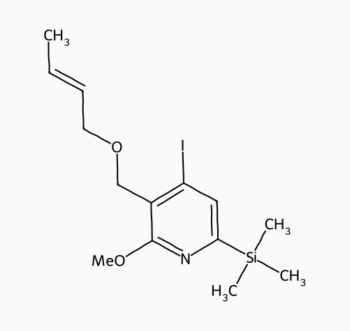 CC=CCOCc1c(I)cc([Si](C)(C)C)nc1OC